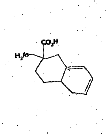 O=C(O)C1([AsH2])CCC2CC=CC=C2C1